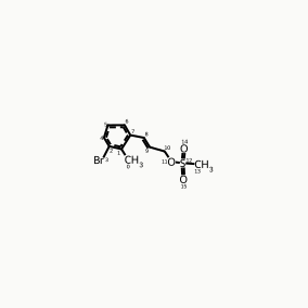 Cc1c(Br)cccc1C=CCOS(C)(=O)=O